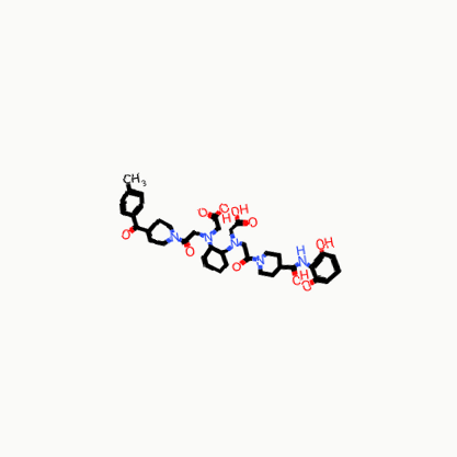 Cc1ccc(C(=O)C2CCN(C(=O)CN(CC(=O)O)C3CCCCC3N(CC(=O)O)CC(=O)N3CCC(C(=O)Nc4c(O)cccc4O)CC3)CC2)cc1